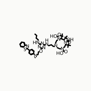 CCCCNc1nc(NCCCN2CCN(C(=O)O)CC(C(C)(C)C)N(C(=O)O)C(C(C)(C)C)C(C(C)(C)C)N(C(=O)O)CC2)nc(OCCN(C)c2ccc(-c3nc4ccccc4s3)cc2)n1